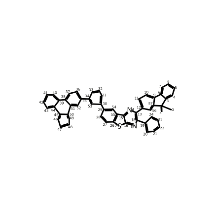 CC1(C)c2ccccc2-c2ccc(-c3nc4c(nc3-c3ccccc3)sc3ccc(-c5cccc(-c6ccc7c8ccccc8c8ccccc8c7c6)c5)cc34)cc21